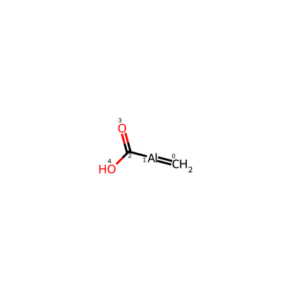 [CH2]=[Al][C](=O)O